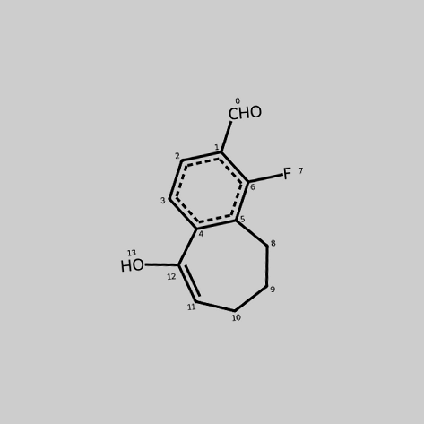 O=Cc1ccc2c(c1F)CCCC=C2O